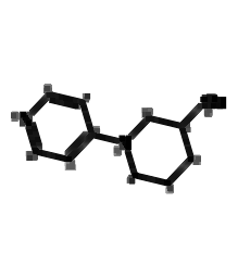 CC(C)(C)C1CCCN(c2ccncc2)C1